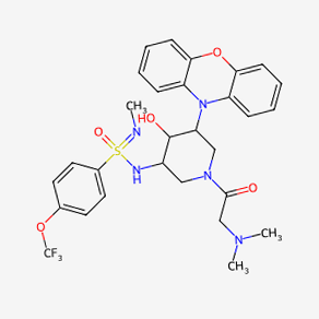 CN=S(=O)(NC1CN(C(=O)CN(C)C)CC(N2c3ccccc3Oc3ccccc32)C1O)c1ccc(OC(F)(F)F)cc1